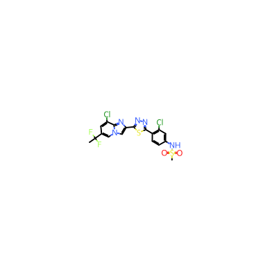 CC(F)(F)c1cc(Cl)c2nc(-c3nnc(-c4ccc(NS(C)(=O)=O)cc4Cl)s3)cn2c1